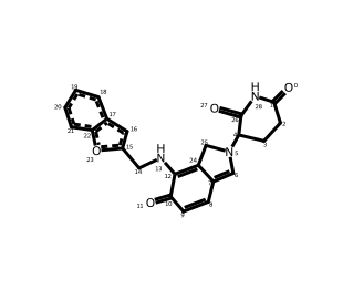 O=C1CCC(N2C=C3C=CC(=O)C(NCc4cc5ccccc5o4)=C3C2)C(=O)N1